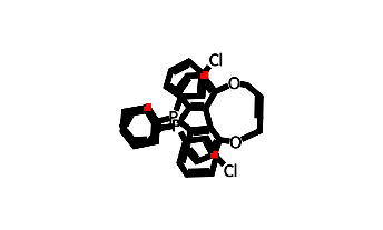 Clc1ccc(P(c2ccccc2)c2ccccc2)c2c1OC/C=C\COc1c(Cl)ccc(P(c3ccccc3)c3ccccc3)c1-2